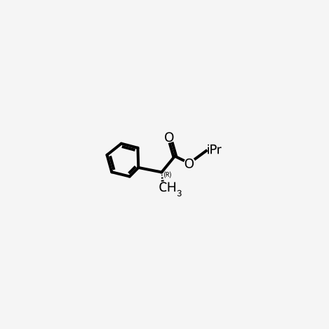 CC(C)OC(=O)[C@H](C)c1ccccc1